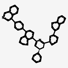 C1=C(c2ccc(-c3ccc(-c4cncc5ccccc45)cc3)c3ccccc23)N=C(c2cccc(-c3ccc4ccccc4c3)c2)C[C@@H]1c1ccccc1